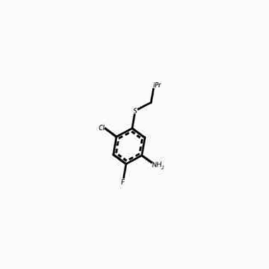 CC(C)CSc1cc(N)c(F)cc1Cl